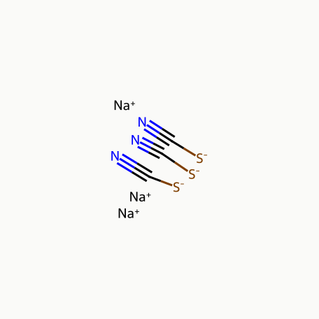 N#C[S-].N#C[S-].N#C[S-].[Na+].[Na+].[Na+]